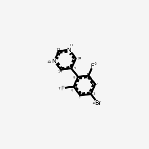 Fc1cc(Br)cc(F)c1-c1cncnc1